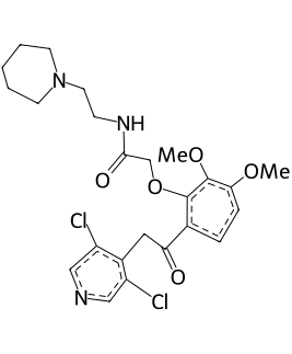 COc1ccc(C(=O)Cc2c(Cl)cncc2Cl)c(OCC(=O)NCCN2CCCCC2)c1OC